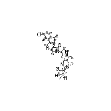 Cc1nc(N2C[C@H]3C[C@H]3C2=O)ncc1[C@H](C)n1cc(NC(=O)c2nc(-c3c(C(F)F)ccc(Cl)c3F)cnc2C)cn1